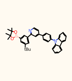 CC(C)(C)c1cc(B2OC(C)(C)C(C)(C)O2)cc(-c2cc(-c3ccc(-n4c5ccccc5c5ccccc54)cc3)ccn2)c1